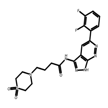 O=C(CCCN1CCS(=O)(=O)CC1)Nc1n[nH]c2nnc(-c3cccc(F)c3F)cc12